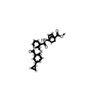 COC(=O)C12CCC(NC(=O)c3cccn4c(=O)c5cc(C6CC6)ccc5nc34)(CC1)C2